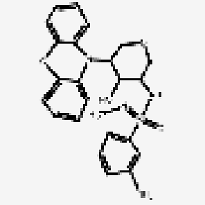 CN=S(=O)(NC1COCC(N2c3ccccc3Oc3ccccc32)C1O)c1cccc(N)c1